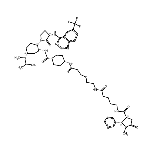 CC(C)N(C)[C@@H]1CC[C@H](N2CC[C@H](Nc3ncnc4ccc(C(F)(F)F)cc34)C2=O)[C@H](NC(=O)[C@H]2CC[C@@H](NC(=O)CCOCCNC(=O)CCCCNC(=O)[C@H]3CC(=O)N(C)[C@@H]3c3cccnc3)CC2)C1